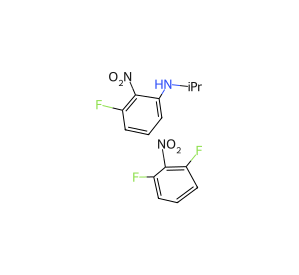 CC(C)Nc1cccc(F)c1[N+](=O)[O-].O=[N+]([O-])c1c(F)cccc1F